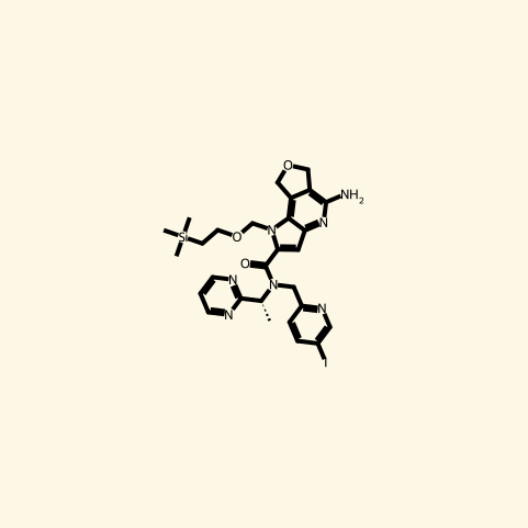 C[C@H](c1ncccn1)N(Cc1ccc(I)cn1)C(=O)c1cc2nc(N)c3c(c2n1COCC[Si](C)(C)C)COC3